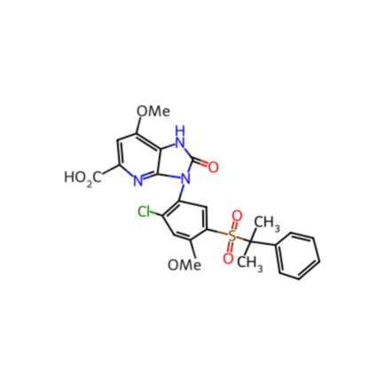 COc1cc(Cl)c(-n2c(=O)[nH]c3c(OC)cc(C(=O)O)nc32)cc1S(=O)(=O)C(C)(C)c1ccccc1